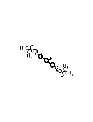 C=C(C)C(=O)O/C=C\Oc1ccc(-c2ccc(-c3ccc(O/C=C\OC(=O)C(=C)C)cc3)c(F)c2)cc1